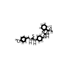 COc1ccc(CNC(=S)NC2CCC(Nc3nc4c(c(N(C)C)n3)CCCC4)CC2)cc1